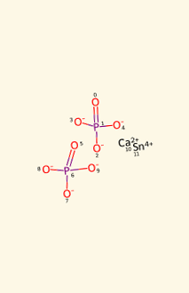 O=P([O-])([O-])[O-].O=P([O-])([O-])[O-].[Ca+2].[Sn+4]